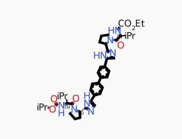 CCOC(=O)N[C@H](C(=O)N1CCCC1c1ncc(-c2ccc(-c3ccc(-c4cnc([C@@H]5CCCN5C(=O)[C@@H](NC(=O)OC(C)C)C(C)C)[nH]4)cc3)cc2)[nH]1)C(C)C